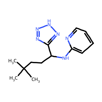 CC(C)(C)CCC(Nc1ccccn1)c1nn[nH]n1